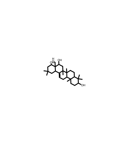 CC1(C)CC(O)C2(CO)C(O)CC3(C)C(=CCC4C5(C)CCC(O)C(C)(C)C5CCC43C)C2C1